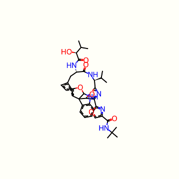 CC(C)[C@H](O)C(=O)N[C@H]1Cc2ccc3c(c2)C2(c4ccccc4NC2O3)c2oc(nc2-c2nc(C(=O)NC(C)(C)C)co2)[C@H](C(C)C)NC1=O